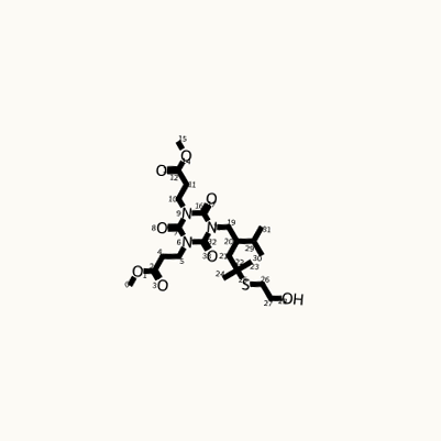 COC(=O)CCn1c(=O)n(CCC(=O)OC)c(=O)n(CC(CC(C)(C)SCCO)C(C)C)c1=O